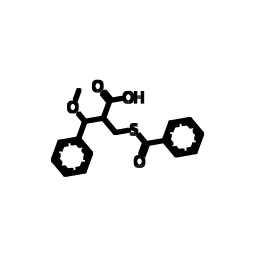 COC(c1ccccc1)C(CSC(=O)c1ccccc1)C(=O)O